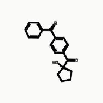 O=C(c1ccccc1)c1ccc(C(=O)C2(O)CCCC2)cc1